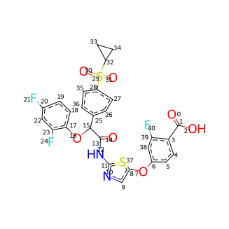 O=C(O)c1ccc(Oc2cnc(NC(=O)C(Oc3ccc(F)cc3F)c3ccc(S(=O)(=O)C4CC4)cc3)s2)cc1F